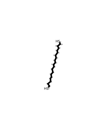 SCCCCCCCCCCCCCCCCCCCS